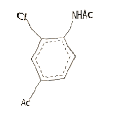 CC(=O)Nc1ccc(C(C)=O)cc1Cl